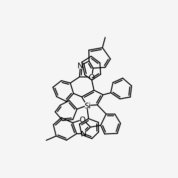 Cc1ccc2oc(-c3ccccc3C3=C(c4ccccc4)C(c4ccccc4)=C(c4ccccc4-c4nc5cc(C)ccc5o4)[Si]3(c3ccccc3)c3ccccc3)nc2c1